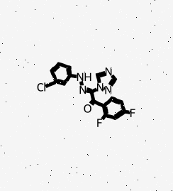 O=C(C(=NNc1cccc(Cl)c1)n1cncn1)c1ccc(F)cc1F